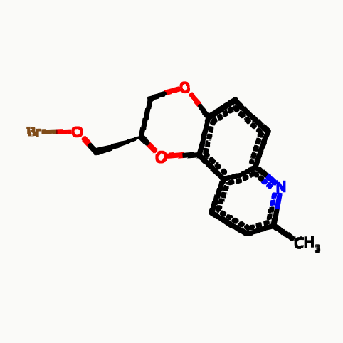 Cc1ccc2c3c(ccc2n1)OC[C@H](COBr)O3